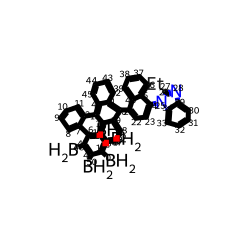 Bc1c(B)c(B)c(-c2ccccc2-c2c3ccccc3c(-c3ccc(-n4c(CC)nc5ccccc54)c4ccccc34)c3ccccc23)c(B)c1B